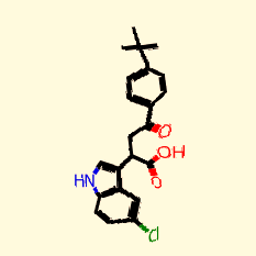 CC(C)(C)c1ccc(C(=O)CC(C(=O)O)c2c[nH]c3ccc(Cl)cc23)cc1